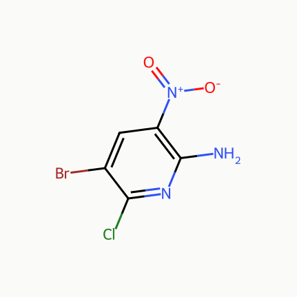 Nc1nc(Cl)c(Br)cc1[N+](=O)[O-]